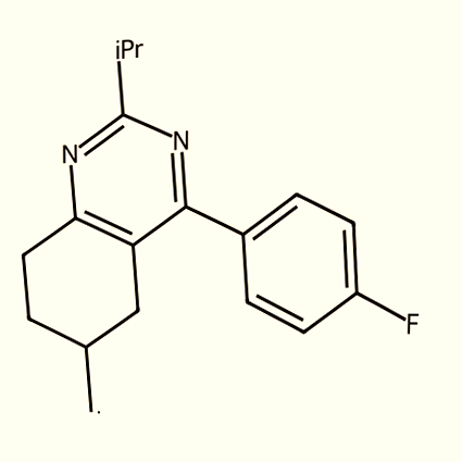 [CH2]C1CCc2nc(C(C)C)nc(-c3ccc(F)cc3)c2C1